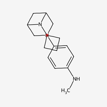 CNc1ccc(N2CC3CC(C2)N3C2CCC2)cc1